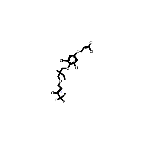 CCC(C)(COC/C=C(\Cl)C(F)(F)F)COc1c(Cl)cc(OCC=C(Cl)Cl)cc1Cl